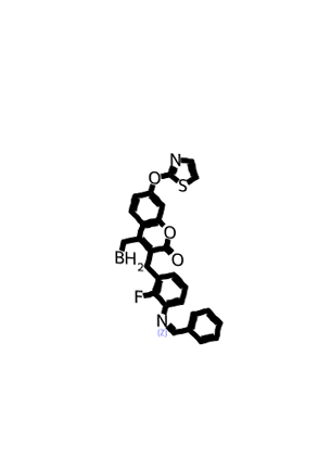 BCc1c(Cc2cccc(/N=C\c3ccccc3)c2F)c(=O)oc2cc(Oc3nccs3)ccc12